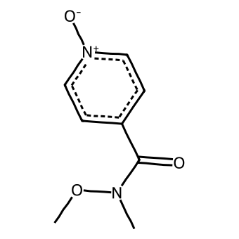 CON(C)C(=O)c1cc[n+]([O-])cc1